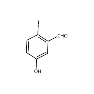 O=Cc1cc(O)ccc1I